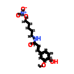 COc1cc(/C=C/C(=O)NCCCCCO[N+](=O)[O-])ccc1O